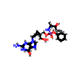 COC(=O)[C@H](C)N[P@](=O)(OC[C@@]1(CO)C/C1=C/n1cnc2c(=O)[nH]c(N)nc21)Oc1ccccc1